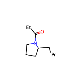 CCC(=O)N1CCCC1CC(C)C